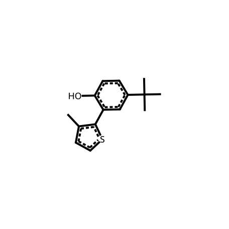 Cc1ccsc1-c1cc(C(C)(C)C)ccc1O